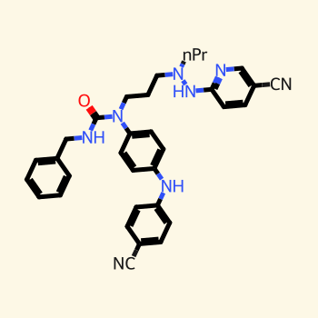 CCCN(CCCN(C(=O)NCc1ccccc1)c1ccc(Nc2ccc(C#N)cc2)cc1)Nc1ccc(C#N)cn1